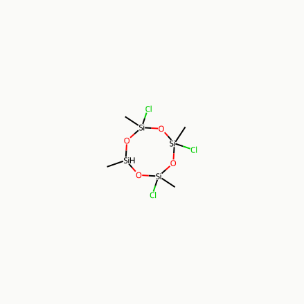 C[SiH]1O[Si](C)(Cl)O[Si](C)(Cl)O[Si](C)(Cl)O1